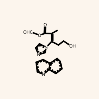 CC(C(=O)OC=O)=C(CCO)n1ccnc1.c1ccc2ncccc2c1